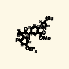 COC(=O)c1cc(NC(=O)C2(c3ccc(OC(F)(F)F)cc3F)CC2)ccc1-n1cc(C(C)(C)C)cn1